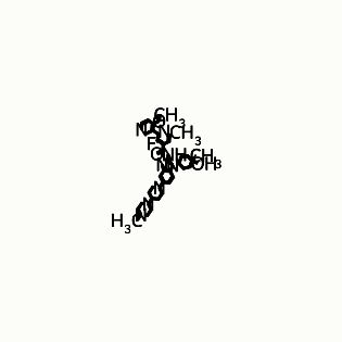 COc1ccncc1-c1nc(C)cc(C(=O)Nc2nc3cc(N4CCC(N5CCN(C)CC5)CC4)ccc3n2[C@H]2CC[C@@](C)(O)CC2)c1F